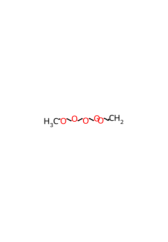 C=CCOOCCOCCOCCOCC